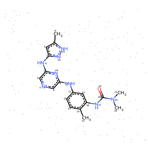 Cc1cc(Nc2cncc(Nc3ccc(C)c(NC(=O)N(C)C)c3)n2)n[nH]1